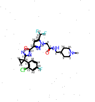 CN1CCC(CNC(=O)Cn2nc(-c3nc(C4(c5ccc(F)cc5Cl)CC4)no3)cc2C(F)F)CC1